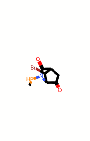 CPN1C(=O)C2CC(=O)C1C2Br